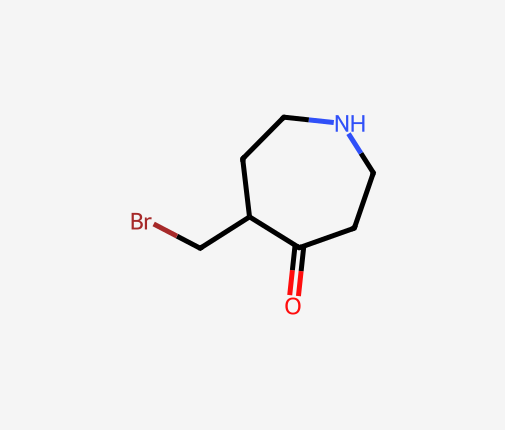 O=C1CCNCCC1CBr